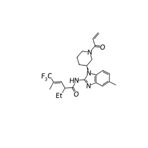 C=CC(=O)N1CCC[C@H](n2c(NC(=O)C(/C=C(\C)C(F)(F)F)CC)nc3cc(C)ccc32)C1